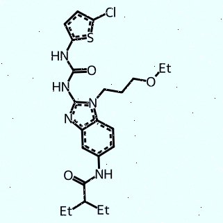 CCOCCCn1c(NC(=O)Nc2ccc(Cl)s2)nc2cc(NC(=O)C(CC)CC)ccc21